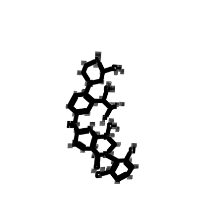 CC1CN(c2ccc(Nc3ncc4c(n3)N(C)CN(c3c(Cl)cccc3Cl)C4=O)cc2C(O)C(F)F)CCN1